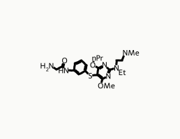 CCCOc1nc(N(CC)CCNC)nc(OC)c1Sc1cccc(NC(=O)CN)c1